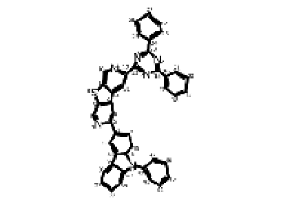 C1=C(c2cc3c(cn2)sc2cnc(-c4nc(-c5ccccc5)nc(-c5ccccc5)n4)cc23)C=C2c3ccccc3N(c3ccccc3)C2C1